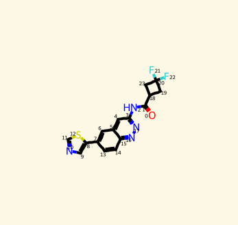 O=C(Nc1cc2cc(-c3cncs3)ccc2nn1)C1CC(F)(F)C1